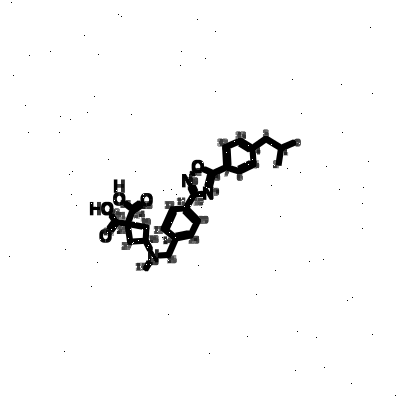 CC(C)Cc1ccc(-c2nc(-c3ccc(CN(C)C4CC(C(=O)O)(C(=O)O)C4)cc3)no2)cc1